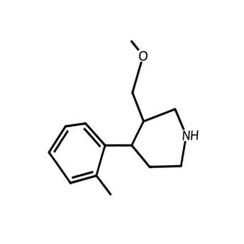 COCC1CNCCC1c1ccccc1C